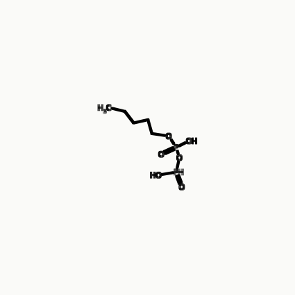 CCCCCOP(=O)(O)O[PH](=O)O